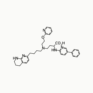 O=C(O)C(CCN(CCCCc1ccc2c(n1)NCCC2)CCOc1ccccn1)Nc1ccc(-c2ccccc2)cn1